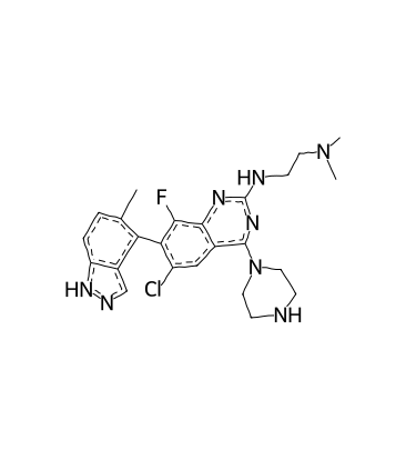 Cc1ccc2[nH]ncc2c1-c1c(Cl)cc2c(N3CCNCC3)nc(NCCN(C)C)nc2c1F